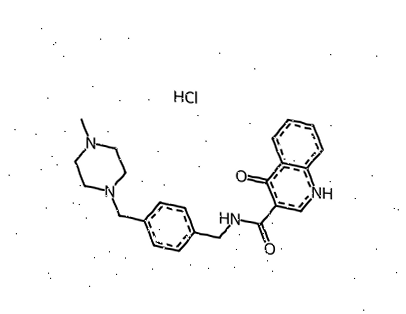 CN1CCN(Cc2ccc(CNC(=O)c3c[nH]c4ccccc4c3=O)cc2)CC1.Cl